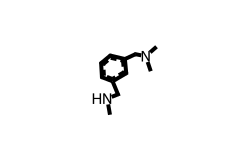 CNCc1cccc(CN(C)C)c1